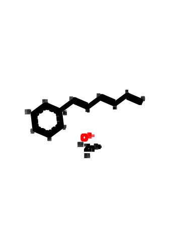 C=CC=CC=Cc1ccccc1.[O-2].[Zn+2]